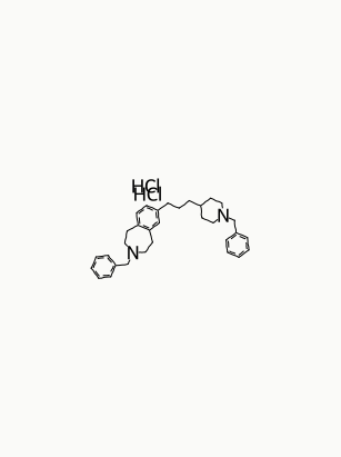 Cl.Cl.c1ccc(CN2CCc3ccc(CCCC4CCN(Cc5ccccc5)CC4)cc3CC2)cc1